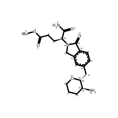 CC(C)(C)OC(=O)CC[C@@H](C(N)=O)N1Cc2cc(C[C@H]3OCCC[C@@H]3N)ccc2C1=O